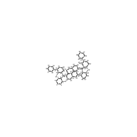 Cc1ccccc1N(c1cccc(-c2ccccc2)c1C)c1ccc2ccc3c(N(c4cccc(-c5ccccc5)c4C)c4c(C)cccc4C)ccc4ccc1c2c43